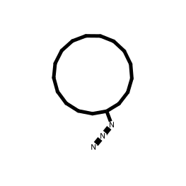 [N-]=[N+]=NC1CCCCCCCCCCCCCCCC1